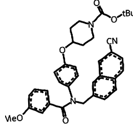 COc1cccc(C(=O)N(Cc2ccc3ccc(C#N)cc3c2)c2ccc(OC3CCN(C(=O)OC(C)(C)C)CC3)cc2)c1